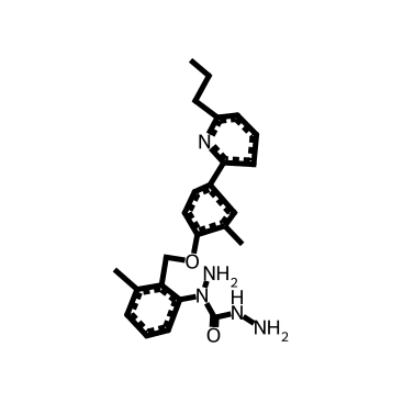 CCCc1cccc(-c2ccc(OCc3c(C)cccc3N(N)C(=O)NN)c(C)c2)n1